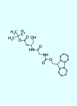 CC(C)(C)OC(=O)C[C@@H](CO)NC(=O)CNC(=O)OCC1c2ccccc2-c2ccccc21